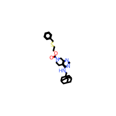 O=C(OCCSCc1ccccc1)N1CCc2c(ncnc2NCC23CC4CC(CC(C4)C2)C3)C1